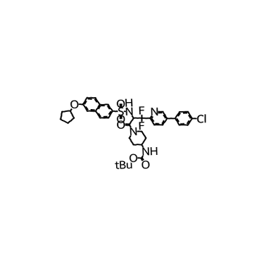 CC(C)(C)OC(=O)NC1CCN(C(=O)C(NS(=O)(=O)c2ccc3cc(OC4CCCC4)ccc3c2)C(F)(F)c2ccc(-c3ccc(Cl)cc3)cn2)CC1